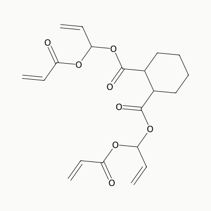 C=CC(=O)OC(C=C)OC(=O)C1CCCCC1C(=O)OC(C=C)OC(=O)C=C